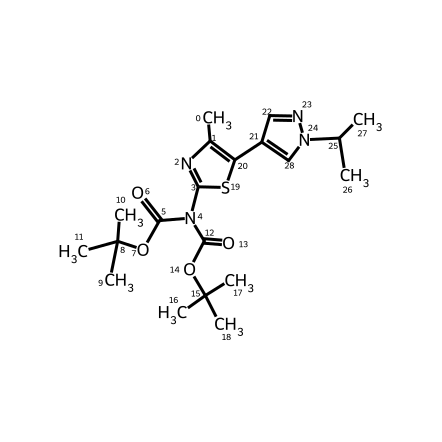 Cc1nc(N(C(=O)OC(C)(C)C)C(=O)OC(C)(C)C)sc1-c1cnn(C(C)C)c1